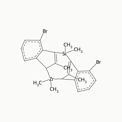 CC1=C2c3c(Br)cccc3[CH]1[Zr]([CH3])([CH3])[CH]1C(C)=C(c3c(Br)cccc31)[Si]2(C)C